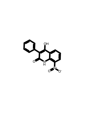 O=c1[nH]c2c([N+](=O)[O-])cccc2c(O)c1-c1ccccc1